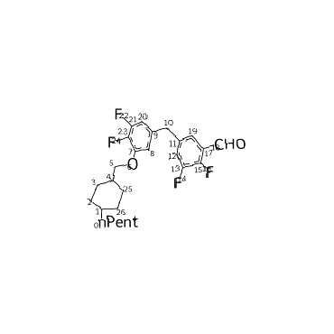 CCCCCC1CCC(COc2cc(Cc3cc(F)c(F)c(C=O)c3)cc(F)c2F)CC1